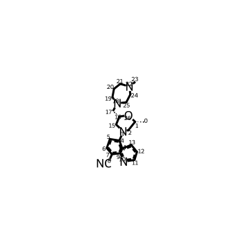 C[C@@H]1CN(c2ccc(C#N)c3ncccc23)C[C@H](CN2CCCN(C)CC2)O1